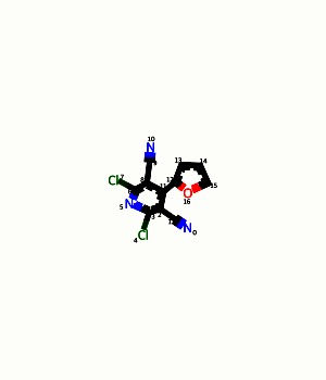 N#Cc1c(Cl)nc(Cl)c(C#N)c1-c1ccco1